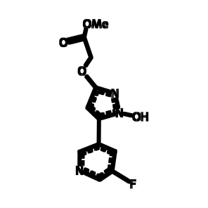 COC(=O)COc1cc(-c2cncc(F)c2)n(O)n1